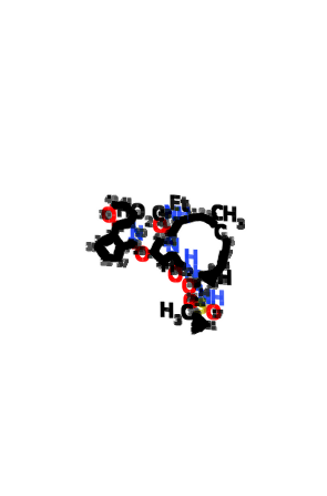 CC[C@@H]1C[C@H](C)CCC=C[C@@H]2C[C@@]2(C(=O)NS(=O)(=O)C2(C)CC2)NC(=O)[C@@H]2C[C@@H](Oc3nc4c(c5ccccc35)OCCC4)CN2C(=O)[C@H]1NC(=O)O